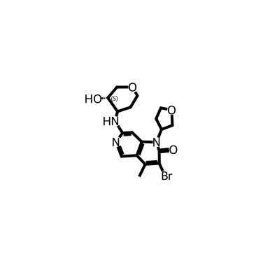 Cc1c(Br)c(=O)n(C2CCOC2)c2cc(NC3CCOC[C@H]3O)ncc12